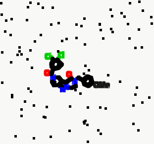 COc1ccc(CN2CCn3nc4c(c3C2=O)CN(C(=O)c2ccc(Cl)c(Cl)c2)CC4)cc1